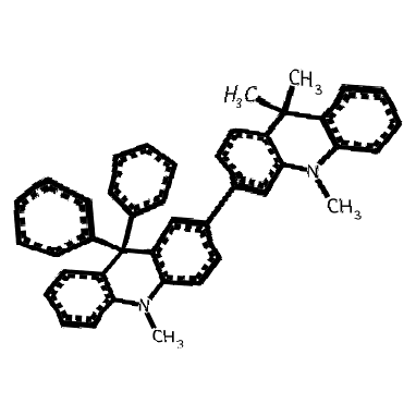 CN1c2ccccc2C(C)(C)c2ccc(-c3ccc4c(c3)C(c3ccccc3)(c3ccccc3)c3ccccc3N4C)cc21